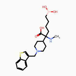 CNC(CCCCB(O)O)(C(=O)O)C1CCN(Cc2csc3ccccc23)CC1